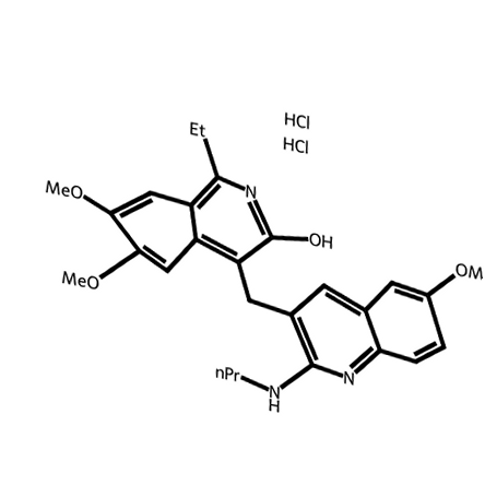 CCCNc1nc2ccc(OC)cc2cc1Cc1c(O)nc(CC)c2cc(OC)c(OC)cc12.Cl.Cl